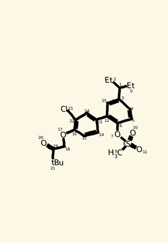 CCC(CC)c1ccc(OS(C)(=O)=O)c(-c2ccc(OCC(=O)C(C)(C)C)c(Cl)c2)c1